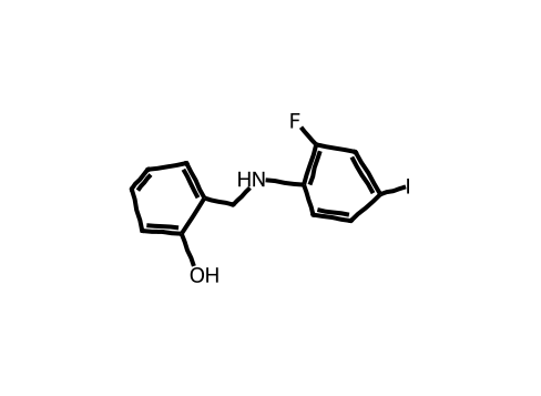 Oc1ccccc1CNc1ccc(I)cc1F